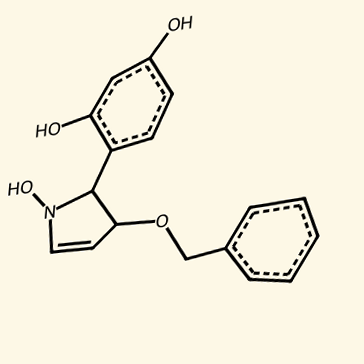 Oc1ccc(C2C(OCc3ccccc3)C=CN2O)c(O)c1